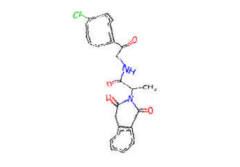 CC(C(=O)NCC(=O)c1ccc(Cl)cc1)N1C(=O)c2ccccc2C1=O